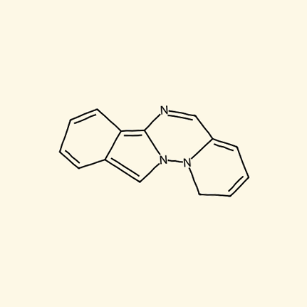 C1=CCN2C(=C1)C=Nc1c3ccccc3cn12